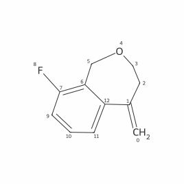 C=C1CCOCc2c(F)cccc21